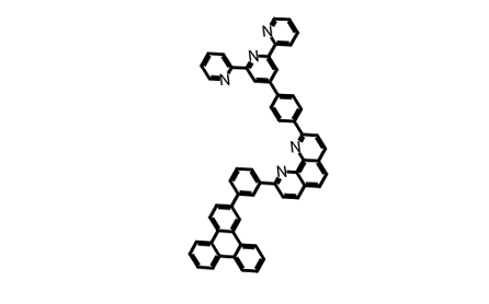 c1ccc(-c2cc(-c3ccc(-c4ccc5ccc6ccc(-c7cccc(-c8ccc9c%10ccccc%10c%10ccccc%10c9c8)c7)nc6c5n4)cc3)cc(-c3ccccn3)n2)nc1